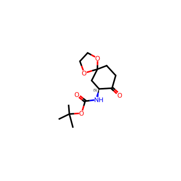 CC(C)(C)OC(=O)N[C@H]1CC2(CCC1=O)OCCO2